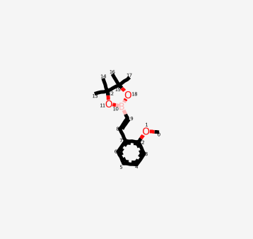 COc1ccccc1C=CB1OC(C)(C)C(C)(C)O1